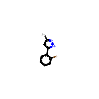 CC(C)(C)c1cc(-c2ccccc2Br)[nH]n1